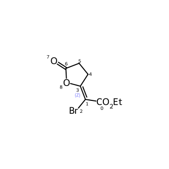 CCOC(=O)/C(Br)=C1\CCC(=O)O1